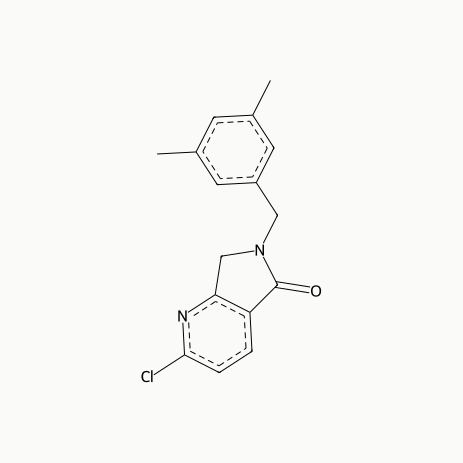 Cc1cc(C)cc(CN2Cc3nc(Cl)ccc3C2=O)c1